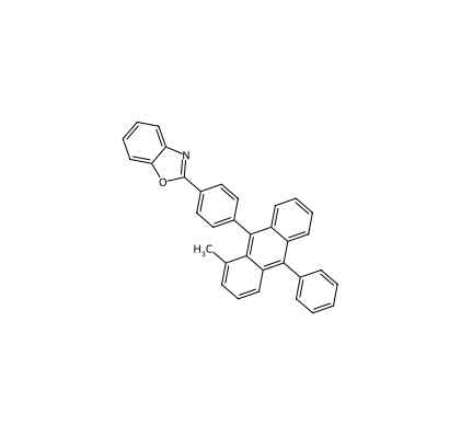 Cc1cccc2c(-c3ccccc3)c3ccccc3c(-c3ccc(-c4nc5ccccc5o4)cc3)c12